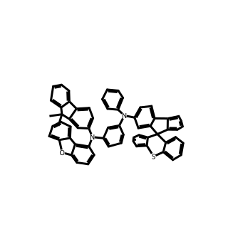 CC1(C)c2ccccc2-c2ccc(N(c3cccc(N(c4ccccc4)c4ccc5c(c4)C4(c6ccccc6Sc6ccccc64)c4ccccc4-5)c3)c3cccc4oc5ccccc5c34)cc21